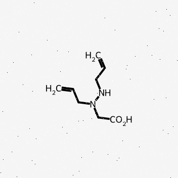 C=CCNN(CC=C)CC(=O)O